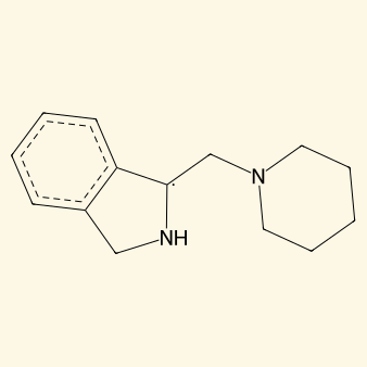 c1ccc2c(c1)CN[C]2CN1CCCCC1